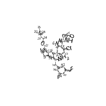 Cn1nc(NS(C)(=O)=O)c2c(Cl)ccc(-c3cc4c(cnn4COCC[Si](C)(C)C)nc3[C@@H](N)Cc3cc(F)cc(F)c3)c21